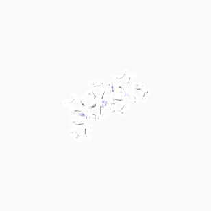 N#Cc1c(-n2c3ccccc3c3ccccc32)cccc1-n1c2ccccc2c2c3c4ccccc4n(-c4ccccc4)c3ccc21